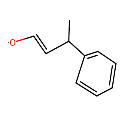 CC(C=C[O])c1ccccc1